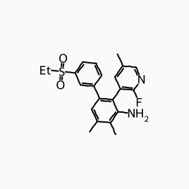 CCS(=O)(=O)c1cccc(-c2cc(C)c(C)c(N)c2-c2cc(C)cnc2F)c1